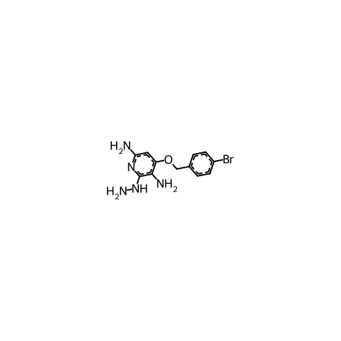 NNc1nc(N)cc(OCc2ccc(Br)cc2)c1N